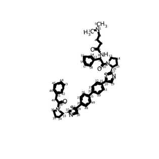 CN(C)CCCC(=O)N[C@@H](C(=O)N1CCC[C@H]1c1ncc(-c2ccc(-c3ccc(-c4cnc([C@@H]5CCCN5C(=O)Cc5ccccc5)s4)cc3)cc2)s1)c1ccccc1